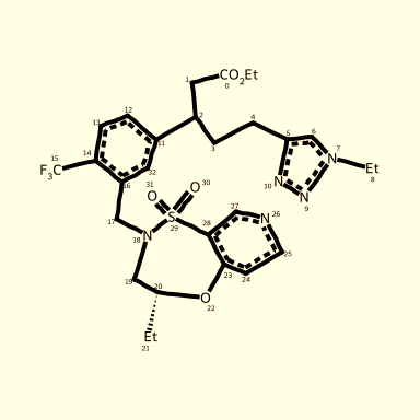 CCOC(=O)CC(CCc1cn(CC)nn1)c1ccc(C(F)(F)F)c(CN2C[C@@H](CC)Oc3ccncc3S2(=O)=O)c1